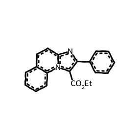 CCOC(=O)c1c(-c2ccccc2)nc2ccc3ccccc3n12